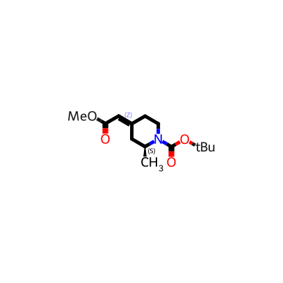 COC(=O)/C=C1/CCN(C(=O)OC(C)(C)C)[C@@H](C)C1